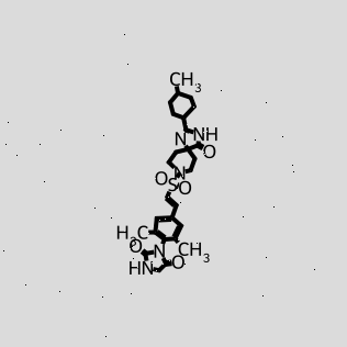 Cc1cc(/C=C/S(=O)(=O)N2CCC3(CC2)N=C(C2CCC(C)CC2)NC3=O)cc(C)c1N1C(=O)CNC1=O